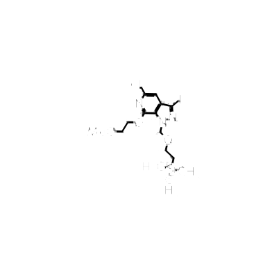 COCCOc1nc(Cl)cc2c(I)nn(COCC[Si](C)(C)C)c12